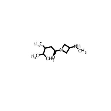 CNC1CN(C(=O)CC(C)C(C)C)C1